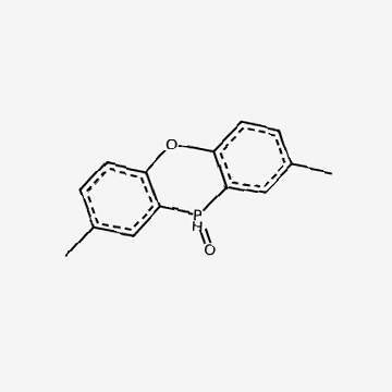 Cc1ccc2c(c1)[PH](=O)c1cc(C)ccc1O2